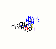 CC(C)(C)NCCCCn1c(Sc2cc3c(cc2I)CCO3)nc2c(N)ncnc21